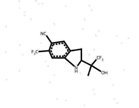 CC(O)(C1Cc2cc(C#N)c(C(F)(F)F)cc2N1)C(F)(F)F